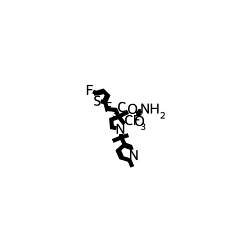 Cc1ccc(C(C)(C)N2CCC(CCc3ccc(F)s3)(C(OC(N)=O)(C(F)(F)F)C(F)(F)F)C2)cn1